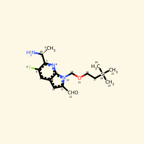 C[C@@H](N)c1nc2c(cc1F)cc(C=O)n2COCC[Si](C)(C)C